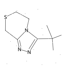 CC(C)(C)c1nnc2n1CCSC2